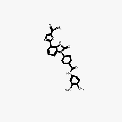 COc1cc(NC(=O)C2CCC(n3c(=O)[nH]c4c(-c5ncc(C(N)=O)o5)cccc43)CC2)ccc1C